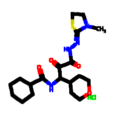 CN1CCSC1=NNC(=O)C(=O)C(NC(=O)C1CCCCC1)C1CCOCC1.Cl